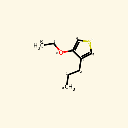 CCCc1cscc1OCC